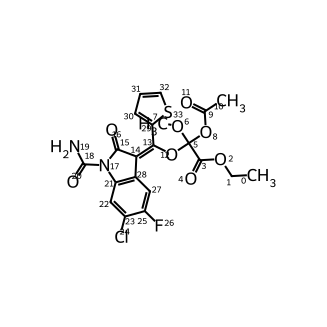 CCOC(=O)C(OC)(OC(C)=O)OC(=C1C(=O)N(C(N)=O)c2cc(Cl)c(F)cc21)c1cccs1